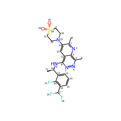 Cc1nc2c(C)nnc(N[C@H](C)c3cccc(C(F)F)c3F)c2cc1N1CCS(=O)(=O)CC1